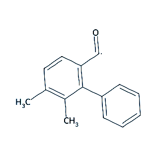 Cc1ccc([C]=O)c(-c2ccccc2)c1C